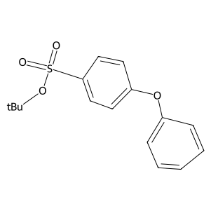 CC(C)(C)OS(=O)(=O)c1ccc(Oc2ccccc2)cc1